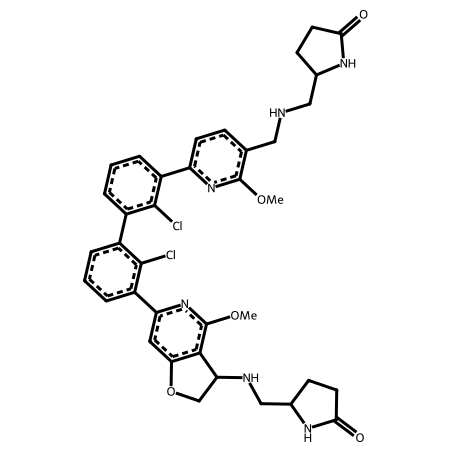 COc1nc(-c2cccc(-c3cccc(-c4cc5c(c(OC)n4)C(NCC4CCC(=O)N4)CO5)c3Cl)c2Cl)ccc1CNCC1CCC(=O)N1